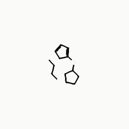 C1=CC[C]([AlH][CH]2CCCC2)=C1.CCCC